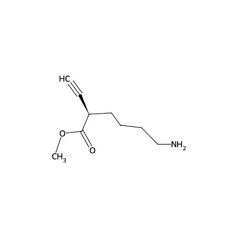 C#C[C@@H](CCCCN)C(=O)OC